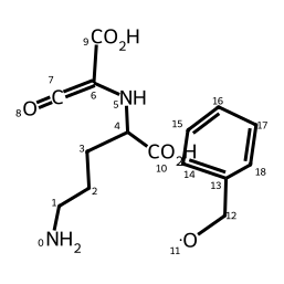 NCCCC(NC(=C=O)C(=O)O)C(=O)O.[O]Cc1ccccc1